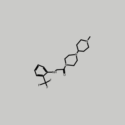 CN1CCC(N2CCN(C(=O)CNc3ccccc3C(F)(F)F)CC2)CC1